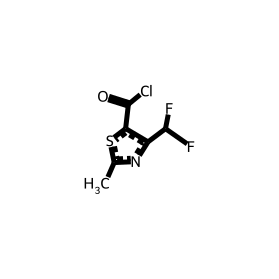 Cc1nc(C(F)F)c(C(=O)Cl)s1